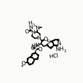 COc1ccc2ccc(S(=O)(=O)NC(Cc3cc4c(N)nccc4s3)C(=O)N3CCN(C(N)=O)C(N(C)C)C3)cc2c1.Cl